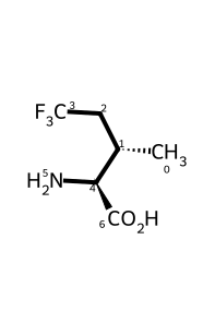 C[C@@H](CC(F)(F)F)[C@H](N)C(=O)O